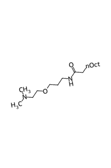 CCCCCCCCCC(=O)NCCCOCCN(C)C